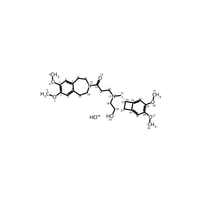 COc1cc2c(cc1OC)CCN(C(=O)CCN(CCO)C[C@H]1Cc3cc(OC)c(OC)cc31)CC2.Cl